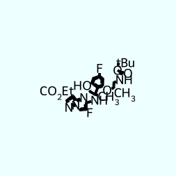 CCOC(=O)c1cnn2cc(F)c(NC(C)(CO)c3ccc(F)cc3OC(C)CNC(=O)OC(C)(C)C)nc12